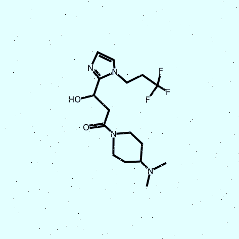 CN(C)C1CCN(C(=O)CC(O)c2nccn2CCC(F)(F)F)CC1